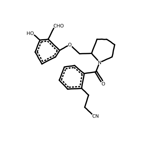 N#CCCc1ccccc1C(=O)N1CCCCC1COc1cccc(O)c1C=O